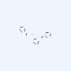 O=C(OCC[C@H](OC(=O)c1ccccc1)c1ccccc1)c1ccccc1